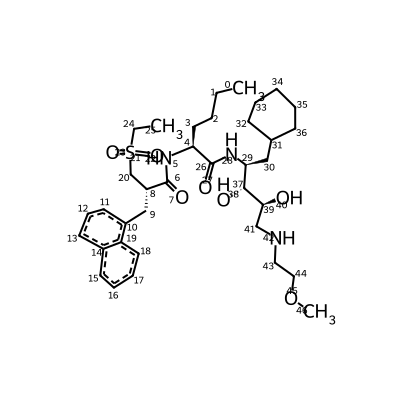 CCCC[C@H](NC(=O)[C@H](Cc1cccc2ccccc12)CS(=O)(=O)CC)C(=O)N[C@@H](CC1CCCCC1)[C@@H](O)[C@@H](O)CNCCOC